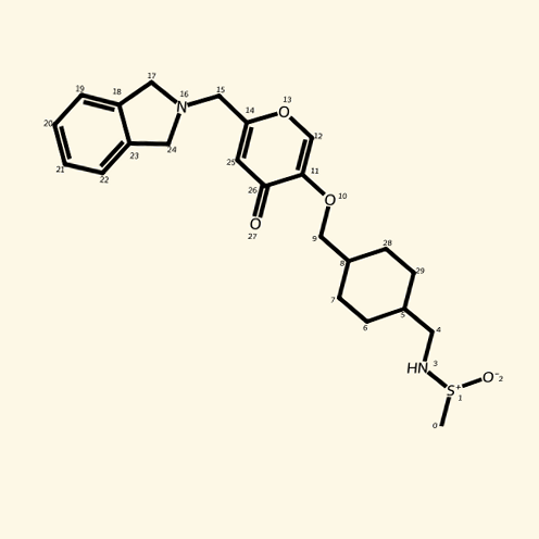 C[S+]([O-])NCC1CCC(COc2coc(CN3Cc4ccccc4C3)cc2=O)CC1